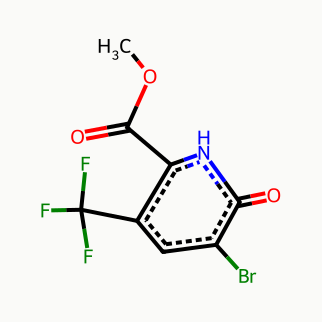 COC(=O)c1[nH]c(=O)c(Br)cc1C(F)(F)F